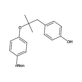 CCCCCCCCCc1ccc(OC(C)(C)Cc2ccc(O)cc2)cc1